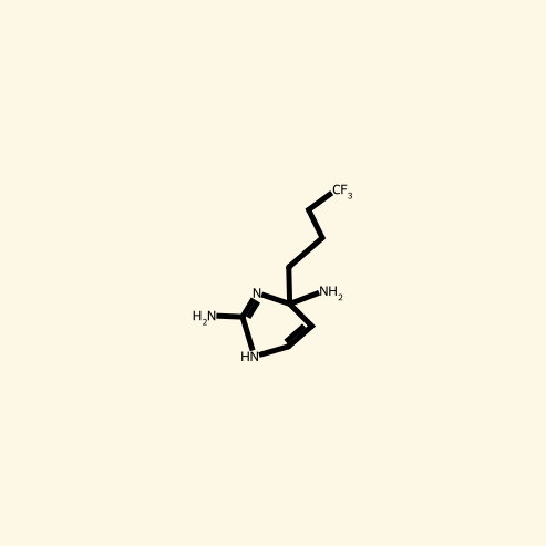 NC1=NC(N)(CCCC(F)(F)F)C=CN1